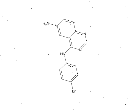 Nc1ccc2ncnc(Nc3ccc(Br)cc3)c2c1